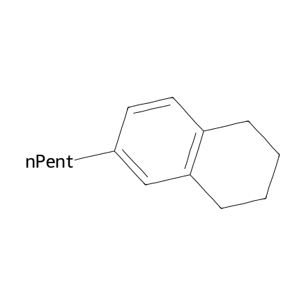 CCCCCc1ccc2c(c1)CCCC2